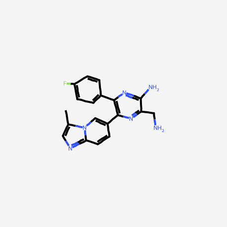 Cc1cnc2ccc(-c3nc(CN)c(N)nc3-c3ccc(F)cc3)cn12